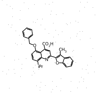 Cc1c(-c2cc(C(=O)O)c3c(OCc4ccccc4)ccc(C(C)C)c3n2)oc2ccccc12